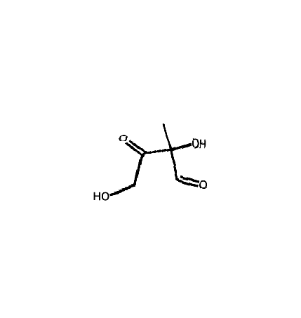 CC(O)(C=O)C(=O)CO